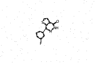 O=c1[nH]nc(-c2cccc(F)c2)c2sccc12